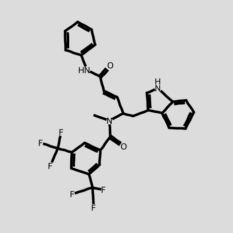 CN(C(=O)c1cc(C(F)(F)F)cc(C(F)(F)F)c1)C(C=CC(=O)Nc1ccccc1)Cc1c[nH]c2ccccc12